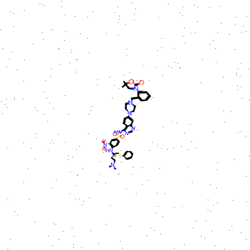 CN(C)CC[C@H](CSc1ccccc1)Nc1ccc(S(=O)(=O)Nc2ncnc3cc(N4CCN(Cc5ccccc5N5CC(C)(C)OC5=O)CC4)ccc23)cc1[N+](=O)[O-]